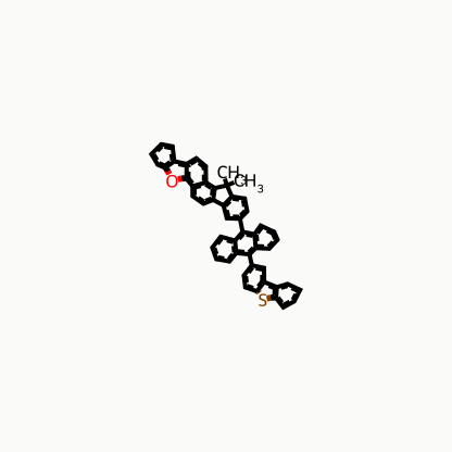 CC1(C)c2ccc(-c3c4ccccc4c(-c4ccc5sc6ccccc6c5c4)c4ccccc34)cc2-c2ccc3c(ccc4c5ccccc5oc34)c21